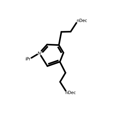 CCCCCCCCCCCCc1cc(CCCCCCCCCCCC)c[n+](C(C)C)c1